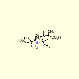 C=C(NC(C)(C)CC(C)(C)C(=O)O)C(C)(C)CC(C)(C)C